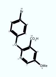 COc1cnc(Oc2ccc(Br)cc2)c(C(=O)O)c1